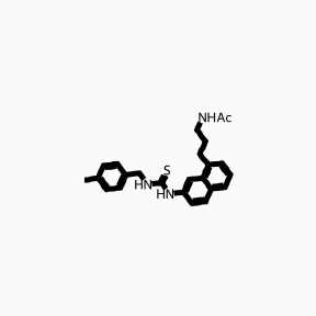 CC(=O)NCCCc1cccc2ccc(NC(=S)NCc3ccc(C)cc3)cc12